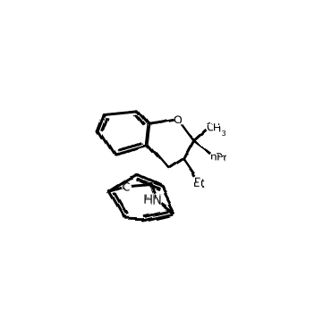 CCCC1(C)Oc2ccccc2CC1CC.c1cc2ccc1CCN2